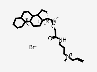 C=CC[N+](C)(C)CCCNC(=O)CC[C@@H](C)[C@H]1CCC2C3CCC4CCCC[C@]4(C)C3CC[C@@]21C.[Br-]